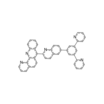 c1ccc(-c2cc(-c3ccc4nc(-c5c6ccccc6nc6c5ccc5cccnc56)ccc4c3)cc(-c3ccccn3)c2)nc1